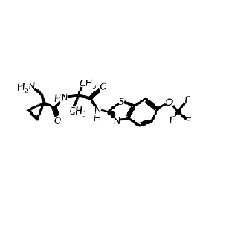 CC(C)(NC(=O)C1(CN)CC1)C(=O)Nc1nc2ccc(OC(F)(F)F)cc2s1